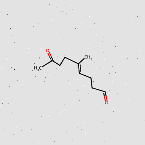 CC(=O)CCC(C)=CCCC=O